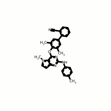 Cc1ccc(Nc2nc(Oc3c(C)cc(-c4ccccc4C#N)cc3C)c3c(ccn3C)n2)cc1